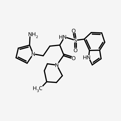 CC1CCN(C(=O)C(CCn2cccc2N)NS(=O)(=O)c2cccc3cc[nH]c23)CC1